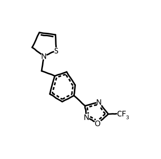 FC(F)(F)c1nc(-c2ccc(CN3CC=CS3)cc2)no1